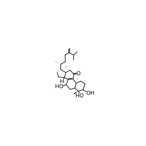 C=C(CC[C@@H](C)[C@H]1CC[C@H]2C3=C(C(=O)C[C@]12C)[C@@]1(C)CCC(O)[C@](C)(O)C1CC3O)C(C)C